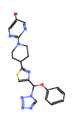 Brc1cnc(N2CCC(c3nc(C(Oc4ccccc4)n4cnnn4)cs3)CC2)nc1